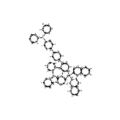 c1ccc(N(c2ccccc2)c2ccc(-c3ccc(-c4ccc5c6c4-c4ccccc4-n4c7ccccc7c7ccc(c-6c74)C5(c4ccc5ccccc5c4)c4ccc5ccccc5c4)cc3)cc2)cc1